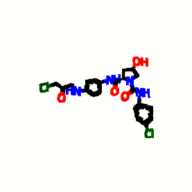 O=C(CCl)CNc1ccc(NC(=O)[C@H]2C[C@@H](O)CN2C(=O)Nc2ccc(Cl)cc2)cc1